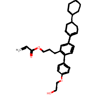 C=CC(=O)OCCCc1cc(C2=CCC(C3CCCCC3)CC2)ccc1-c1ccc(OCCO)cc1